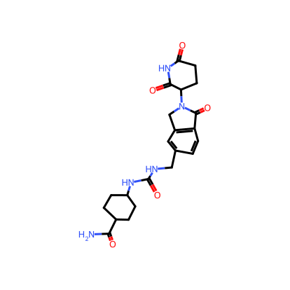 NC(=O)C1CCC(NC(=O)NCc2ccc3c(c2)CN(C2CCC(=O)NC2=O)C3=O)CC1